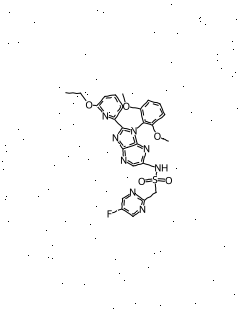 CCOc1cccc(-c2nc3ncc(NS(=O)(=O)Cc4ncc(F)cn4)nc3n2-c2c(OC)cccc2OC)n1